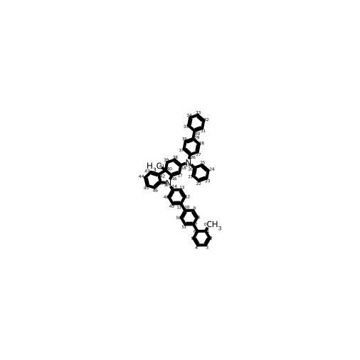 CC1C=CC=CC1c1ccc(-c2ccc(N3C4=CC(N(c5ccccc5)c5ccc(-c6ccccc6)cc5)=CCC4(C)c4ccccc43)cc2)cc1